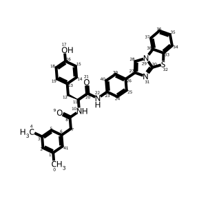 Cc1cc(C)cc(CC(=O)N[C@@H](Cc2ccc(O)cc2)C(=O)Nc2ccc(-c3cn4c(n3)sc3ccccc34)cc2)c1